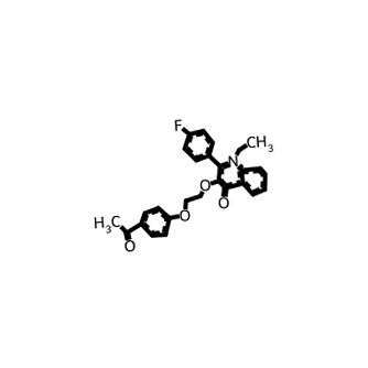 CCn1c(-c2ccc(F)cc2)c(OCCOc2ccc(C(C)=O)cc2)c(=O)c2ccccc21